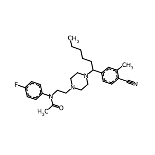 CCCCCC(c1ccc(C#N)c(C)c1)N1CCN(CCN(C(C)=O)c2ccc(F)cc2)CC1